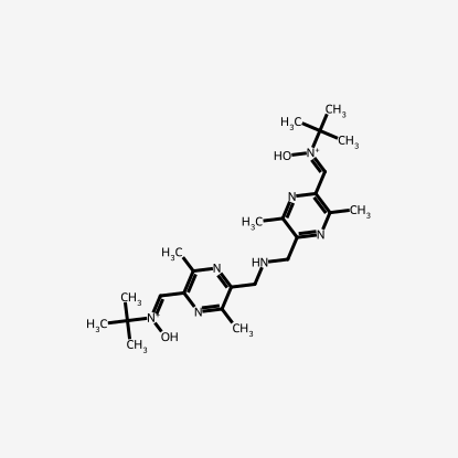 Cc1nc(CNCc2nc(C)c(/C=[N+](\O)C(C)(C)C)nc2C)c(C)nc1/C=[N+](\O)C(C)(C)C